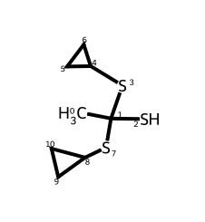 CC(S)(SC1CC1)SC1CC1